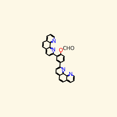 O=COc1ccc(-c2ccc3ccc4cccnc4c3n2)cc1-c1ccc2ccc3cccnc3c2n1